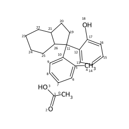 CC(=O)O.Cc1ccccc1C1(c2ccccc2O)CCC2CCCCC21